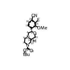 COc1c([C@@H]2CN3CCN(C(=O)OC(C)(C)C)C[C@@H]3CO2)ccc(C#N)c1F